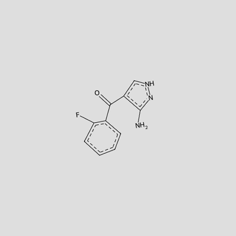 Nc1n[nH]cc1C(=O)c1ccccc1F